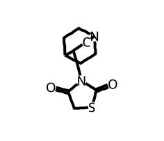 O=C1CSC(=O)N1C1CN2CCC1CC2